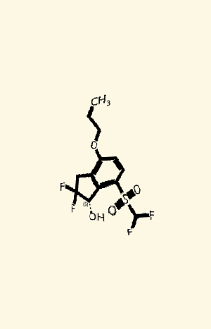 CCCOc1ccc(S(=O)(=O)C(F)F)c2c1CC(F)(F)[C@H]2O